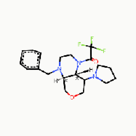 O=C(N1CCN(Cc2ccccc2)[C@@H]2COCC(N3CCCC3)[C@H]21)C(F)(F)F